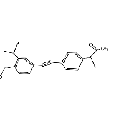 CC(C)c1cc(C#Cc2ccc(C(C)C(=O)O)cc2)ccc1CO